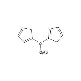 C[O][Zr]([C]1=CC=CC1)[C]1=CC=CC1